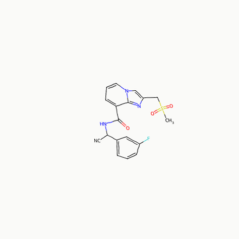 CS(=O)(=O)Cc1cn2cccc(C(=O)NC(C#N)c3cccc(F)c3)c2n1